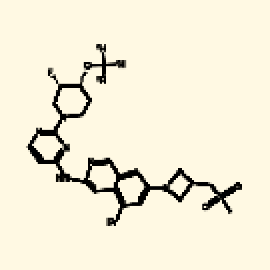 [2H]C([2H])([2H])O[C@@H]1CCN(c2nccc(Nc3cc4c(C(C)C)cc(N5CC(CS(C)(=O)=O)C5)cc4cn3)n2)C[C@@H]1F